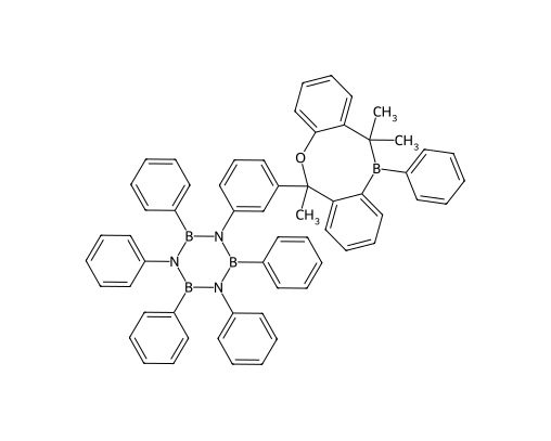 CC1(C)B(c2ccccc2)c2ccccc2C(C)(c2cccc(N3B(c4ccccc4)N(c4ccccc4)B(c4ccccc4)N(c4ccccc4)B3c3ccccc3)c2)Oc2ccccc21